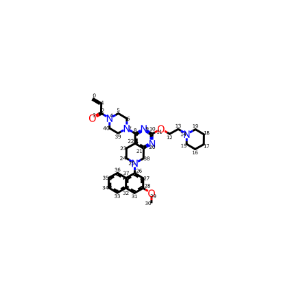 C=CC(=O)N1CCN(c2nc(OCCN3CCCCC3)nc3c2CCN(c2cc(OC)cc4ccccc24)C3)CC1